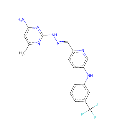 Cc1cc(N)nc(N/N=C/c2ccc(Nc3cccc(C(F)(F)F)c3)cn2)n1